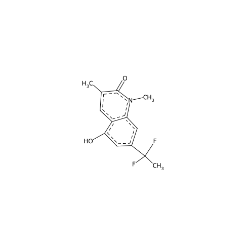 Cc1cc2c(O)cc(C(C)(F)F)cc2n(C)c1=O